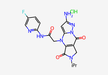 CC(C)N1Cc2c(n(CC(=O)Nc3ccc(F)cn3)c3cc(N)nn3c2=O)C1=O.Cl